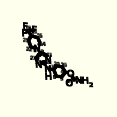 NC(=O)OC1CCC(Nc2ncc(N3CCC(C(F)(F)F)CC3)cn2)CC1